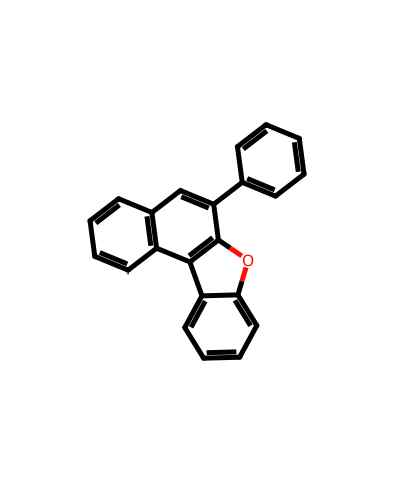 [c]1cccc2cc(-c3ccccc3)c3oc4ccccc4c3c12